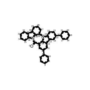 O=c1c2cc(-c3ccccc3)cc3c4cc(-c5ccccc5)ccc4n(c4cccc5c6ccccc6n1c54)c23